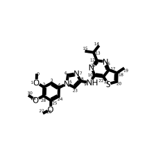 COc1cc(-n2cnc(Nc3nc(C(C)C)nc4c(C)csc34)c2)cc(OC)c1OC